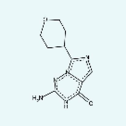 Nc1nn2c(C3CCOCC3)ncc2c(=O)[nH]1